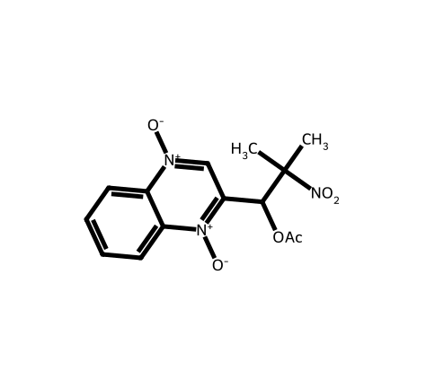 CC(=O)OC(c1c[n+]([O-])c2ccccc2[n+]1[O-])C(C)(C)[N+](=O)[O-]